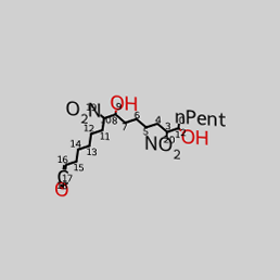 CCCCCC(O)C(CCCCC(O)C(CCCCCC=C=O)[N+](=O)[O-])[N+](=O)[O-]